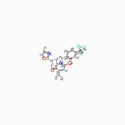 Cc1coc([C@H]2C[C@@]3(C2)C(=O)C(C(C)C)=CC(=O)N3Cc2ccc(C(F)(F)F)cc2)n1